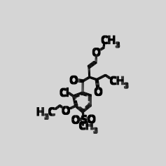 CCOC=CC(C(=O)CC)C(=O)c1ccc(S(C)(=O)=O)c(OCC)c1Cl